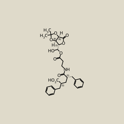 CC1(C)O[C@@H]2[C@@H](C(O)OC(=O)CCNC(=O)[C@H](Cc3ccccc3)C[C@@H](Cc3ccccc3)C(=O)O)OC(=O)[C@@H]2O1